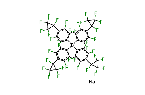 Fc1c(F)c(C2(F)C(F)(F)C2(F)F)c(F)c(F)c1[B-](c1c(F)c(F)c(C2(F)C(F)(F)C2(F)F)c(F)c1F)(c1c(F)c(F)c(C2(F)C(F)(F)C2(F)F)c(F)c1F)c1c(F)c(F)c(C2(F)C(F)(F)C2(F)F)c(F)c1F.[Na+]